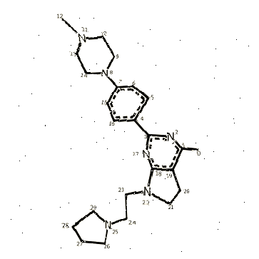 Cc1nc(-c2ccc(N3CCN(C)CC3)cc2)nc2c1CCN2CCN1CCCC1